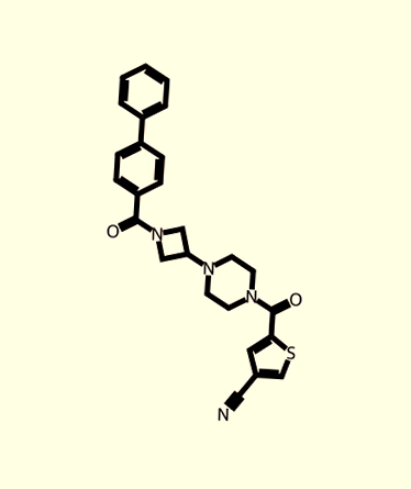 N#Cc1csc(C(=O)N2CCN(C3CN(C(=O)c4ccc(-c5ccccc5)cc4)C3)CC2)c1